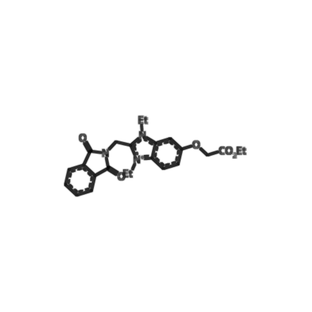 CCOC(=O)COc1ccc2c(c1)n(CC)c(CN1C(=O)c3ccccc3C1=O)[n+]2CC